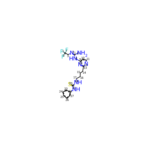 N/C(=N/CC(F)(F)F)Nc1ccnc(CCCCNC(=S)Nc2ccccc2)n1